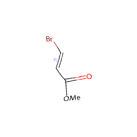 COC(=O)/C=C/Br